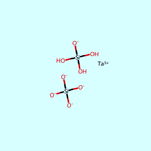 [O-][Si](O)(O)O.[O-][Si]([O-])([O-])[O-].[Ta+5]